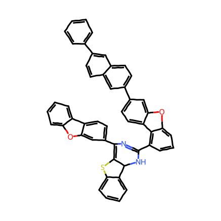 c1ccc(-c2ccc3cc(-c4ccc5c(c4)oc4cccc(C6=NC(c7ccc8c(c7)oc7ccccc78)=C7Sc8ccccc8C7N6)c45)ccc3c2)cc1